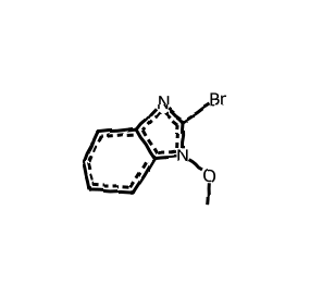 COn1c(Br)nc2ccccc21